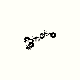 Cc1cccc(-c2nc(CNC3CCN(C(=O)OCc4ccccc4)CC3)[nH]c2-c2ccn3ncnc3c2)n1